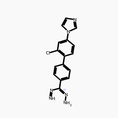 N=N/C(=N\N)c1ccc(-c2ccc(-n3ccnc3)cc2Cl)cc1